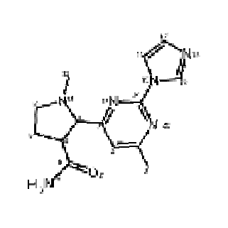 Cc1cc(C2C(C(N)=O)CCN2C)nc(-n2ccnc2)n1